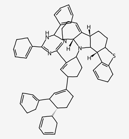 C1=CCCC(C2=NC(C3=CC(C4=CC(C5=CC=CCC5)[C@@H](C5C=CC=CC5)CC4)CCC3N3C4[C@H]5C6=C(CCC=C6)SC5CC[C@H]4C4=CCCC[C@H]43)=NC(c3ccccc3)N2)=C1